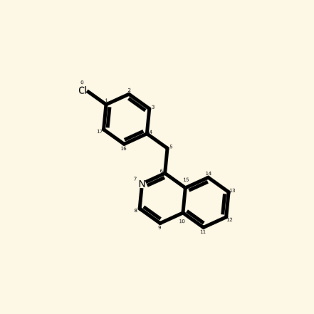 Clc1ccc(Cc2nccc3ccccc23)cc1